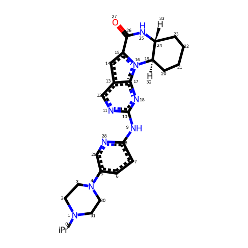 CC(C)N1CCN(c2ccc(Nc3ncc4cc5n(c4n3)[C@@H]3CCCC[C@H]3NC5=O)nc2)CC1